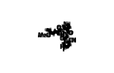 C=C/C(=C\C=C(/C)C(=O)Nc1cnccc1C(=O)NCC(=O)N1CC(F)(F)CC[C@H]1C#N)OC